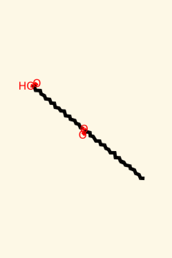 CCCCCCCCC=CCCCCCCCCCCCCCC(=O)OCCCCCCCCCCCCCCCCCCCC(=O)O